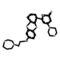 O=c1cc(N2CCOCC2)cc(-c2cccc3c2Sc2ccc(NCCN4CCCOCC4)cc2S3)[nH]1